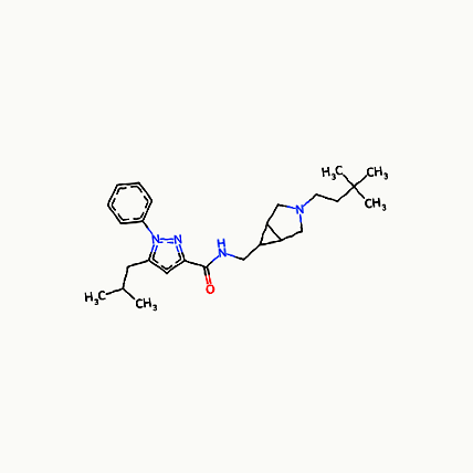 CC(C)Cc1cc(C(=O)NCC2C3CN(CCC(C)(C)C)CC23)nn1-c1ccccc1